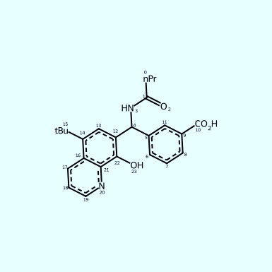 CCCC(=O)NC(c1cccc(C(=O)O)c1)c1cc(C(C)(C)C)c2cccnc2c1O